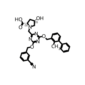 Cc1c(COc2nc(CN3C[C@@H](O)C[C@H]3C(=O)O)nc(OCc3cccc(C#N)c3)n2)cccc1-c1ccccc1